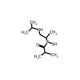 CC(C)NCC(C)B(S)C(=O)C(C)C